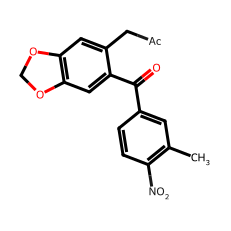 CC(=O)Cc1cc2c(cc1C(=O)c1ccc([N+](=O)[O-])c(C)c1)OCO2